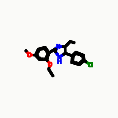 CCOc1cc(OC)ccc1C1=NC(CC)C(c2ccc(Cl)cc2)N1